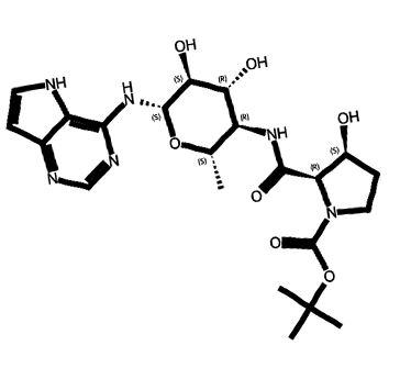 C[C@@H]1O[C@H](Nc2ncnc3cc[nH]c23)[C@@H](O)[C@H](O)[C@H]1NC(=O)[C@H]1[C@@H](O)CCN1C(=O)OC(C)(C)C